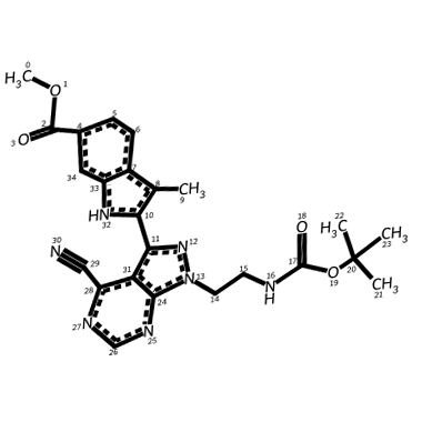 COC(=O)c1ccc2c(C)c(-c3nn(CCNC(=O)OC(C)(C)C)c4ncnc(C#N)c34)[nH]c2c1